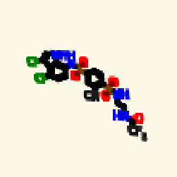 N#Cc1cc(S(=O)(=O)Nc2ccc(Cl)c3c(Cl)c[nH]c23)ccc1S(=O)(=O)NCCNC(=O)C(F)(F)F